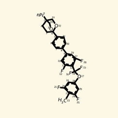 CCCC12CCC(c3ccc(-c4cc(F)c(C(F)(F)Oc5cc(F)c(C)c(F)c5)c(F)c4)cc3)(OC1)OC2